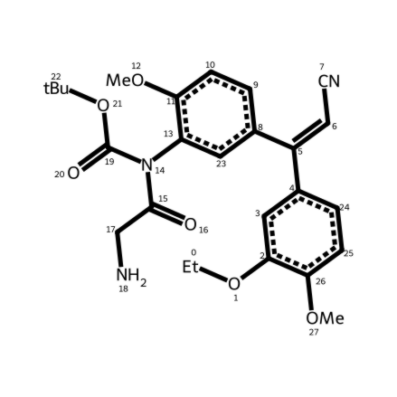 CCOc1cc(C(=CC#N)c2ccc(OC)c(N(C(=O)CN)C(=O)OC(C)(C)C)c2)ccc1OC